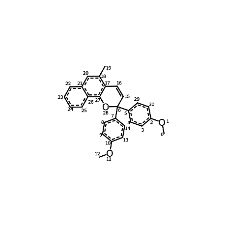 COc1ccc(C2(c3ccc(OC)cc3)C=Cc3c(C)cc4ccccc4c3O2)cc1